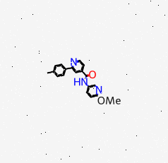 COc1ccc(NC(=O)c2ccnc(-c3ccc(C)cc3)c2)cn1